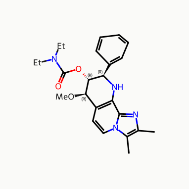 CCN(CC)C(=O)O[C@@H]1[C@@H](c2ccccc2)Nc2c(ccn3c(C)c(C)nc23)[C@H]1OC